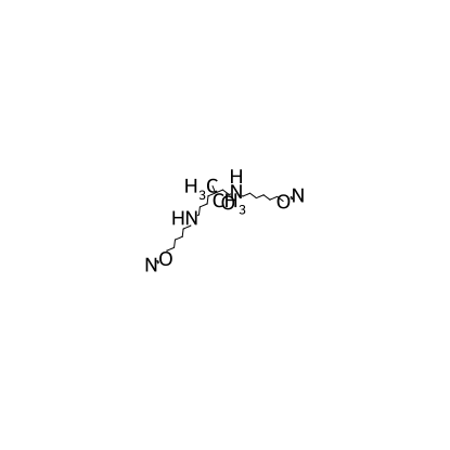 CC(C)(CCCCNCCCCCCOC#N)CC(=O)NCCCCCCOC#N